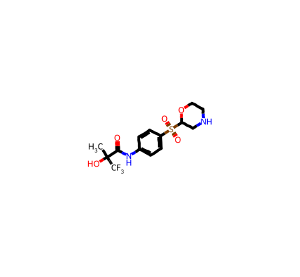 CC(O)(C(=O)Nc1ccc(S(=O)(=O)C2CNCCO2)cc1)C(F)(F)F